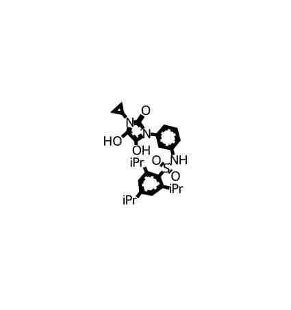 CC(C)c1cc(C(C)C)c(S(=O)(=O)Nc2cccc(-n3c(O)c(O)n(C4CC4)c3=O)c2)c(C(C)C)c1